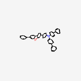 c1ccc(-c2ccc(N(c3ccc(-c4ccccc4)cc3)c3ccc(-c4ccc5c(c4)oc4cc(-c6ccccc6)ccc45)cc3)cc2)cc1